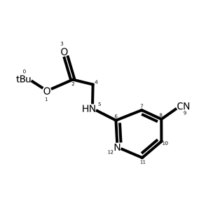 CC(C)(C)OC(=O)CNc1cc(C#N)ccn1